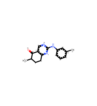 CC1CCc2nc(Nc3cccc(C#N)c3)ncc2C1=O